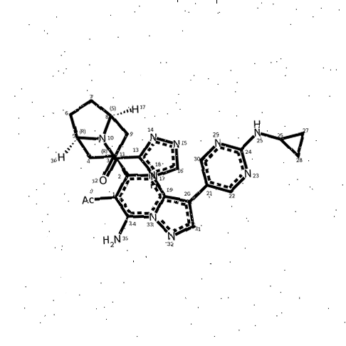 CC(=O)c1c([C@H]2C[C@H]3CC[C@@H](C2)N3C(=O)c2nnc[nH]2)nc2c(-c3cnc(NC4CC4)nc3)cnn2c1N